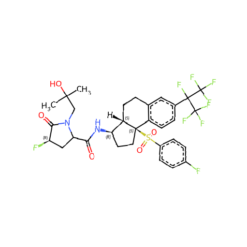 CC(C)(O)CN1C(=O)[C@H](F)CC1C(=O)N[C@@H]1CC[C@@]2(S(=O)(=O)c3ccc(F)cc3)c3ccc(C(F)(C(F)(F)F)C(F)(F)F)cc3CC[C@@H]12